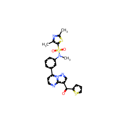 Cc1nc(C)c(S(=O)(=O)N(C)c2cccc(-c3ccnc4c(C(=O)c5cccs5)cnn34)c2)s1